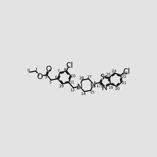 CCOC(=O)Cc1cc(Cl)cc(CN2CCN(c3nc4ccc(Cl)cc4s3)CC2)c1